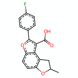 CC1Cc2c(ccc3oc(-c4ccc(F)cc4)c(C(=O)O)c23)O1